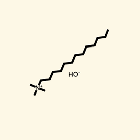 CCCCCCCCCCCCC[N+](C)(C)C.[OH-]